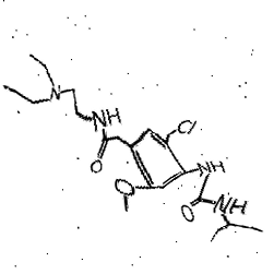 CCN(CC)CCNC(=O)c1cc(Cl)c(NC(=O)NC(C)C)cc1OC